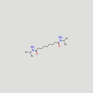 CC(=O)C(C(C)=O)N(N)C(=O)CCCCCCCC(=O)N(N)C(C(C)=O)C(C)=O